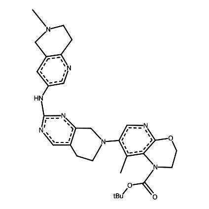 Cc1c(N2CCc3cnc(Nc4cnc5c(c4)CN(C)CC5)nc3C2)cnc2c1N(C(=O)OC(C)(C)C)CCO2